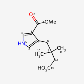 COC(=O)c1c[nH]cc1CC(C)(C)CC(=O)O